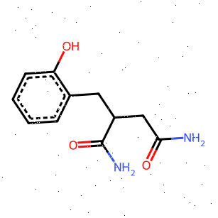 NC(=O)CC(Cc1ccccc1O)C(N)=O